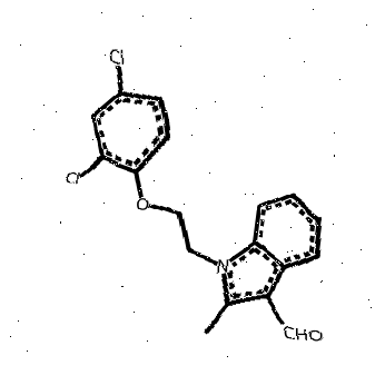 Cc1c(C=O)c2ccccc2n1CCOc1ccc(Cl)cc1Cl